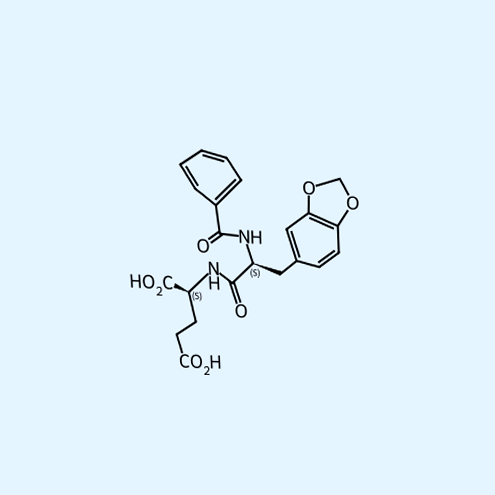 O=C(O)CC[C@H](NC(=O)[C@H](Cc1ccc2c(c1)OCO2)NC(=O)c1ccccc1)C(=O)O